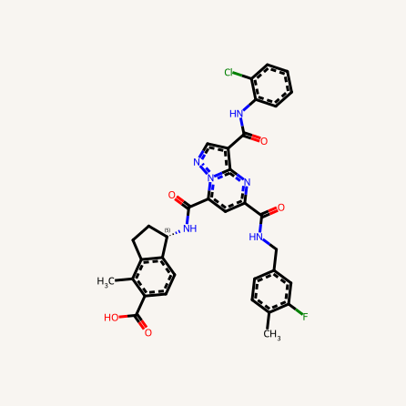 Cc1ccc(CNC(=O)c2cc(C(=O)N[C@H]3CCc4c3ccc(C(=O)O)c4C)n3ncc(C(=O)Nc4ccccc4Cl)c3n2)cc1F